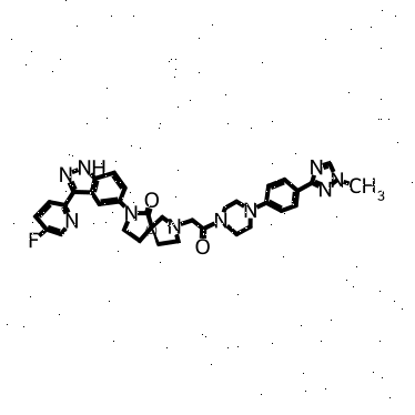 Cn1cnc(-c2ccc(N3CCN(C(=O)CN4CC[C@]5(CCN(c6ccc7[nH]nc(-c8ccc(F)cn8)c7c6)C5=O)C4)CC3)cc2)n1